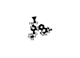 [2H]C([2H])([2H])NC(=O)c1cnc(NC(=O)C2CC2)cc1Nc1cccc2c1N(C)C([2H])([2H])c1nn(C)nc1-2